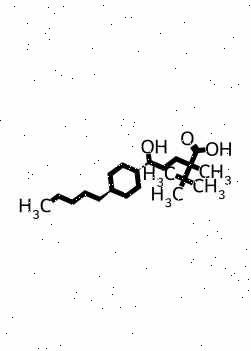 CCCCC[C@H]1CC[C@H](C(O)CCC(C)(C(=O)O)C(C)(C)C)CC1